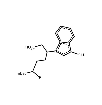 CCCCCCCCCCC(F)CCC(CC(=O)O)n1cc(O)c2ccccc21